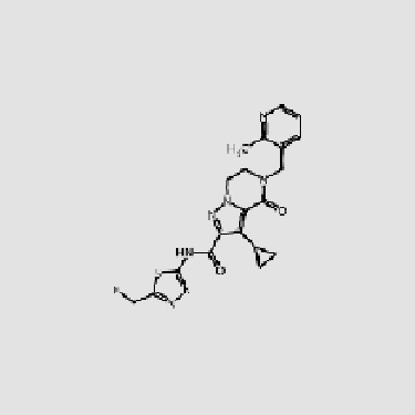 Cc1ncccc1CN1CCn2nc(C(=O)Nc3nnc(CF)s3)c(C3CC3)c2C1=O